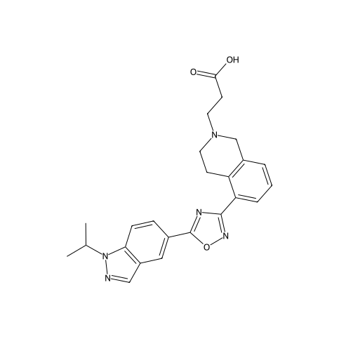 CC(C)n1ncc2cc(-c3nc(-c4cccc5c4CCN(CCC(=O)O)C5)no3)ccc21